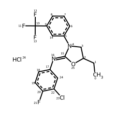 CCC1CN(c2cccc(C(F)(F)F)c2)C(=Nc2ccc(F)c(Cl)c2)O1.Cl